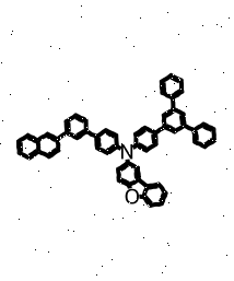 c1ccc(-c2cc(-c3ccccc3)cc(-c3ccc(N(c4ccc(-c5cccc(-c6ccc7ccccc7c6)c5)cc4)c4ccc5oc6ccccc6c5c4)cc3)c2)cc1